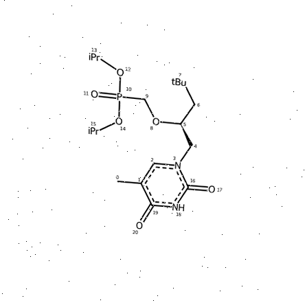 Cc1cn(C[C@H](CC(C)(C)C)OCP(=O)(OC(C)C)OC(C)C)c(=O)[nH]c1=O